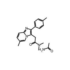 CC(N)=O.Cc1ccc(-c2nc3ccc(C)cn3c2CC(=O)N(C)C)cc1